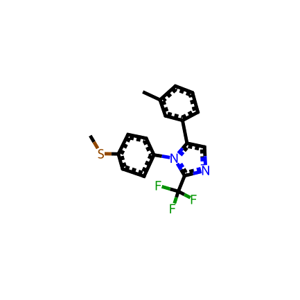 CSc1ccc(-n2c(-c3cccc(C)c3)cnc2C(F)(F)F)cc1